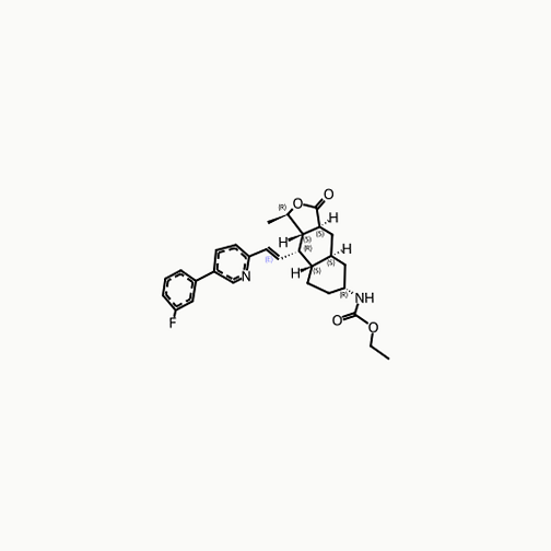 CCOC(=O)N[C@@H]1CC[C@H]2[C@H](C1)C[C@@H]1C(=O)O[C@H](C)[C@H]1[C@H]2/C=C/c1ccc(-c2cccc(F)c2)cn1